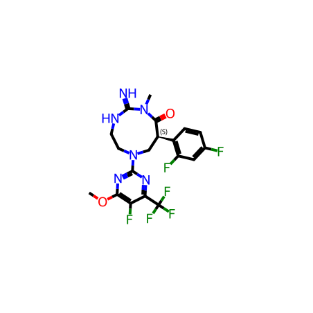 COc1nc(N2CCNC(=N)N(C)C(=O)[C@@H](c3ccc(F)cc3F)C2)nc(C(F)(F)F)c1F